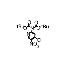 CC(C)(C)OC(=O)N(C(=O)OC(C)(C)C)c1cc(Cl)c([N+](=O)[O-])cn1